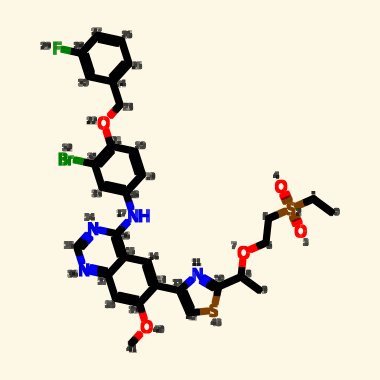 CCS(=O)(=O)CCOC(C)c1nc(-c2cc3c(Nc4ccc(OCc5cccc(F)c5)c(Br)c4)ncnc3cc2OC)cs1